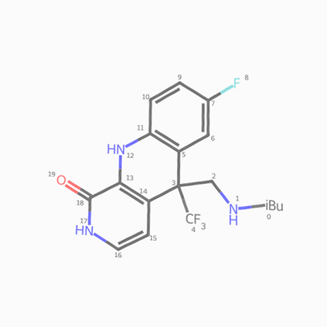 CCC(C)NCC1(C(F)(F)F)c2cc(F)ccc2Nc2c1cc[nH]c2=O